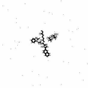 CCC(=O)CCCCC[C@H](NC(=O)Cn1c(C)nc2ccccc21)c1ncc(-c2ccc3ccccc3c2)[nH]1.O=C(O)C(F)(F)F.O=C(O)C(F)(F)F